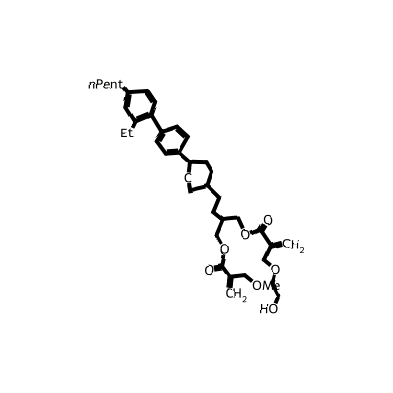 C=C(COC)C(=O)OCC(CCC1CCC(c2ccc(-c3ccc(CCCCC)cc3CC)cc2)CC1)COC(=O)C(=C)COCCO